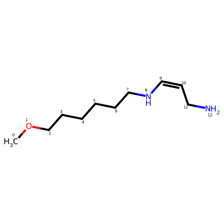 COCCCCCCN/C=C\CN